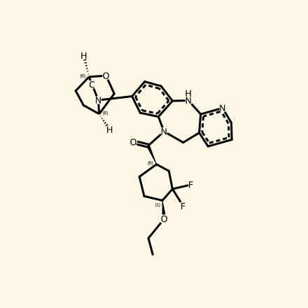 CCO[C@H]1CC[C@@H](C(=O)N2Cc3cccnc3Nc3ccc(N4C[C@H]5CC[C@@H]4CO5)cc32)CC1(F)F